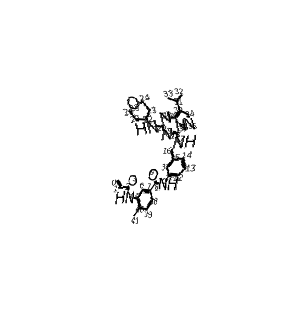 C=CC(=O)Nc1cc(C(=O)Nc2cccc(CNc3nc(NC4CCOCC4)nc4c(C(C)C)cnn34)c2)ccc1C